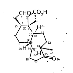 C[C@]1(CC(=O)O)[C@H](CC=O)CC[C@@H]2[C@@H]1CC[C@]1(C)C(=O)CC[C@@H]21